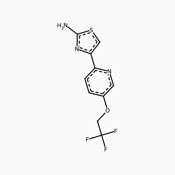 Nc1nc(-c2ccc(OCC(F)(F)F)cn2)cs1